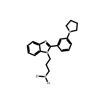 CCN(CC)CCCn1c(-c2cccc(N3CCCC3)c2)nc2ccccc21